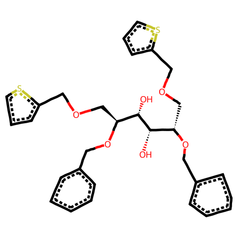 O[C@H]([C@@H](O)[C@H](COCc1cccs1)OCc1ccccc1)[C@H](COCc1cccs1)OCc1ccccc1